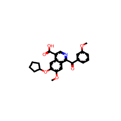 COc1cccc(C(=O)c2ncc(C(=O)O)c3cc(OC4CCCC4)c(OC)cc23)c1